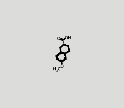 COc1ccc2c(c1)CC[C@@H](C(=O)O)C2